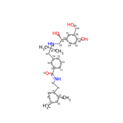 Cc1ccc(CCNC(=O)c2cccc(CC(C)(C)NC[C@@H](O)c3ccc(O)c(CO)c3)c2)c(C)c1